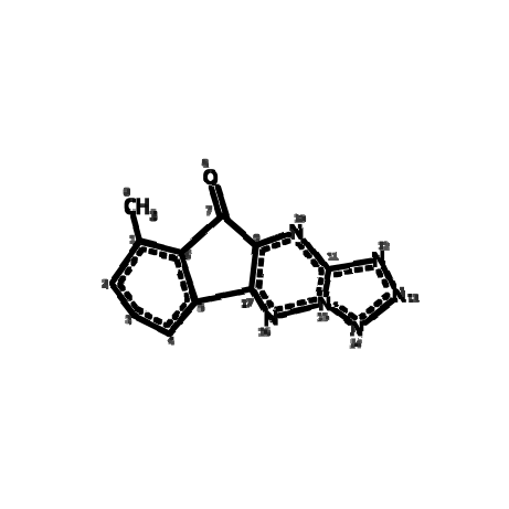 Cc1cccc2c1C(=O)c1nc3nnnn3nc1-2